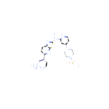 CS(=O)(=O)N1CCN(c2ccnc(Nc3nc4ccc(C(/C=C\N)=C/N)nc4s3)c2)CC1